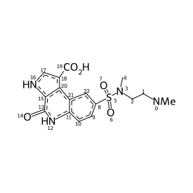 CNCCN(C)S(=O)(=O)c1ccc2[nH]c(=O)c3[nH]cc(C(=O)O)c3c2c1